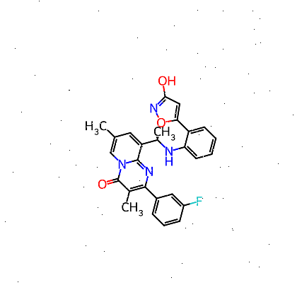 Cc1cc([C@@H](C)Nc2ccccc2-c2cc(O)no2)c2nc(-c3cccc(F)c3)c(C)c(=O)n2c1